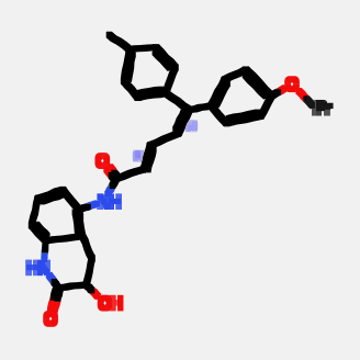 Cc1ccc(/C(=C\C=C\C(=O)Nc2cccc3c2CC(O)C(=O)N3)c2ccc(OC(C)C)cc2)cc1